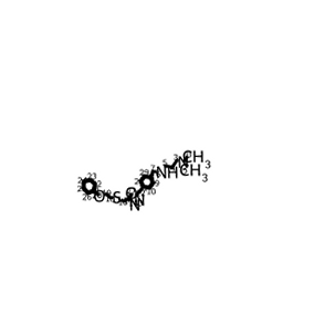 CN(C)CCCNCc1ccc(-c2nnc(CSCCOc3ccccc3)o2)cc1